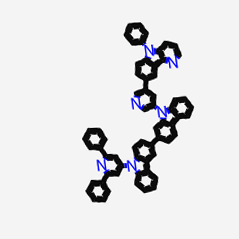 c1ccc(-c2cc(-n3c4ccccc4c4cc(-c5ccc6c7ccccc7n(-c7cncc(-c8ccc9c(c8)c8ncccc8n9-c8ccccc8)c7)c6c5)ccc43)cc(-c3ccccc3)n2)cc1